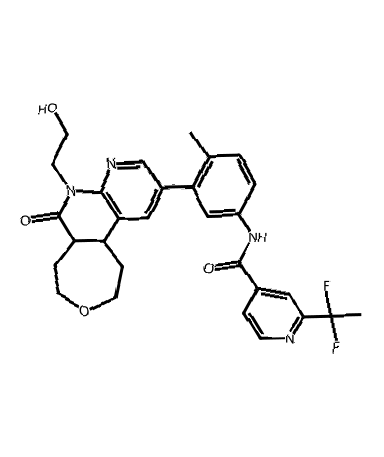 Cc1ccc(NC(=O)c2ccnc(C(C)(F)F)c2)cc1-c1cnc2c(c1)C1CCOCCC1C(=O)N2CCO